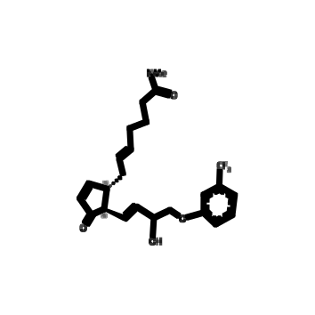 CNC(=O)CCCC=CC[C@H]1C=CC(=O)[C@@H]1C=CC(O)COc1cccc(C(F)(F)F)c1